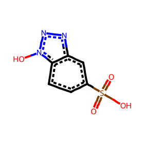 O=S(=O)(O)c1ccc2c(c1)nnn2O